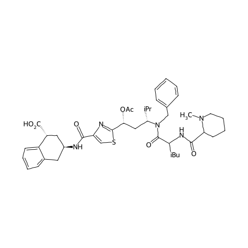 CCC(C)C(NC(=O)C1CCCCN1C)C(=O)N(Cc1ccccc1)[C@H](C[C@@H](OC(C)=O)c1nc(C(=O)N[C@H]2Cc3ccccc3[C@H](C(=O)O)C2)cs1)C(C)C